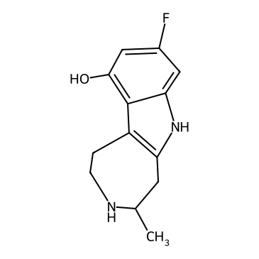 CC1Cc2[nH]c3cc(F)cc(O)c3c2CCN1